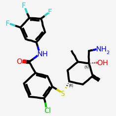 C=C1C[C@H](Sc2cc(C(=O)Nc3cc(F)c(F)c(F)c3)ccc2Cl)CC(C)[C@@]1(O)CN